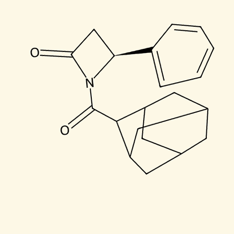 O=C1C[C@@H](c2ccccc2)N1C(=O)C1C2CC3CC(C2)CC1C3